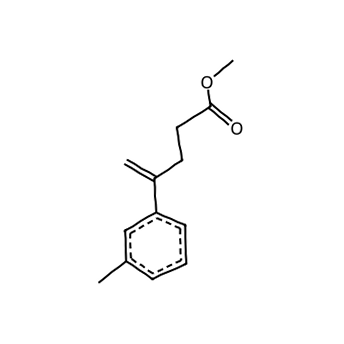 C=C(CCC(=O)OC)c1cccc(C)c1